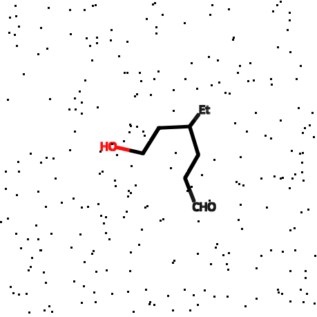 CCC(CCO)CCC=O